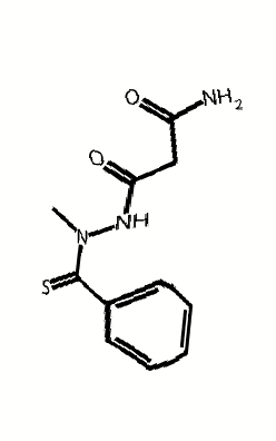 CN(NC(=O)CC(N)=O)C(=S)c1ccccc1